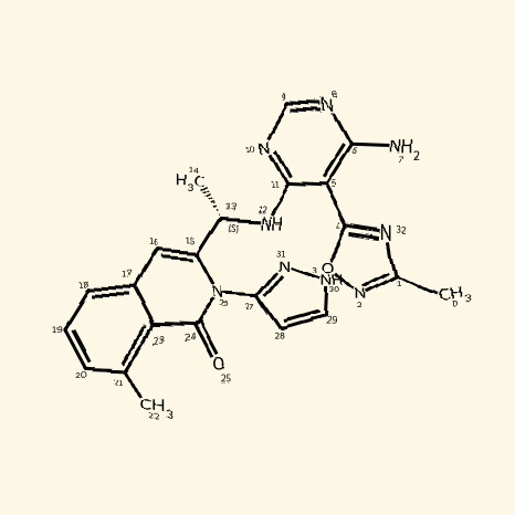 Cc1noc(-c2c(N)ncnc2N[C@@H](C)c2cc3cccc(C)c3c(=O)n2-c2cc[nH]n2)n1